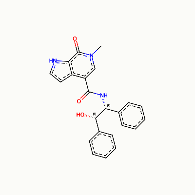 Cn1cc(C(=O)N[C@H](c2ccccc2)[C@@H](O)c2ccccc2)c2cc[nH]c2c1=O